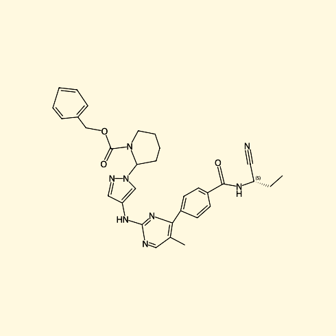 CC[C@@H](C#N)NC(=O)c1ccc(-c2nc(Nc3cnn(C4CCCCN4C(=O)OCc4ccccc4)c3)ncc2C)cc1